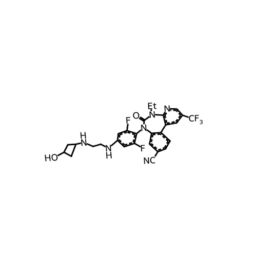 CCN1C(=O)N(c2c(F)cc(NCCNC3CC(O)C3)cc2F)c2cc(C#N)ccc2-c2cc(C(F)(F)F)cnc21